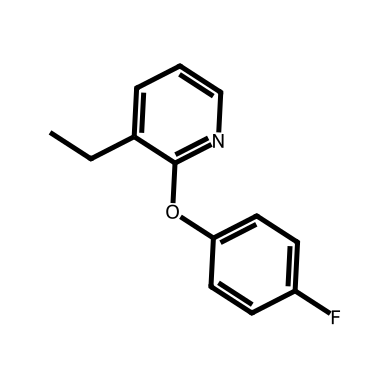 CCc1cccnc1Oc1ccc(F)cc1